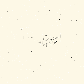 CCCCCN1C(=O)C2(COc3cc4c(cc32)OCO4)c2c(-c3cccc(Cl)c3)cccc21